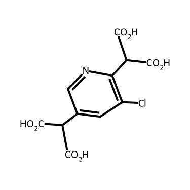 O=C(O)C(C(=O)O)c1cnc(C(C(=O)O)C(=O)O)c(Cl)c1